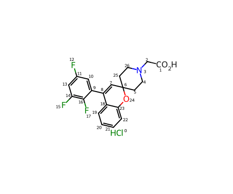 Cl.O=C(O)CN1CCC2(C=C(c3cc(F)cc(F)c3F)c3ccccc3O2)CC1